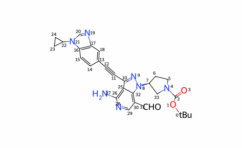 CC(C)(C)OC(=O)N1CC[C@H](n2nc(C#Cc3ccc4c(c3)ncn4C3CC3)c3c(N)ncc(C=O)c32)C1